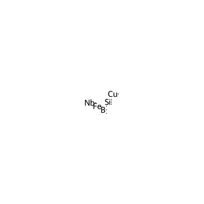 [B].[Cu].[Fe].[Nb].[Si]